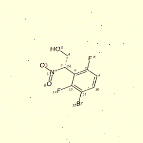 O=[N+]([O-])[C@H](CO)c1c(F)ccc(Br)c1F